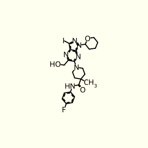 CC1(C(=O)Nc2ccc(F)cc2)CCN(c2nc3c(nc2CO)c(I)nn3C2CCCCO2)CC1